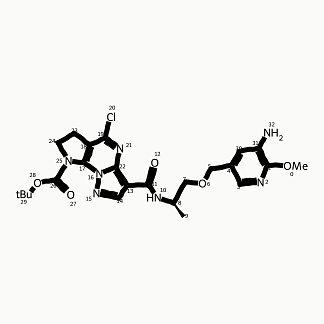 COc1ncc(COC[C@@H](C)NC(=O)c2cnn3c4c(c(Cl)nc23)CCN4C(=O)OC(C)(C)C)cc1N